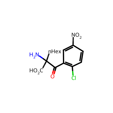 CCCCCCC(N)(C(=O)O)C(=O)c1cc([N+](=O)[O-])ccc1Cl